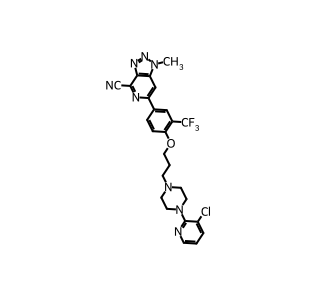 Cn1nnc2c(C#N)nc(-c3ccc(OCCCN4CCN(c5ncccc5Cl)CC4)c(C(F)(F)F)c3)cc21